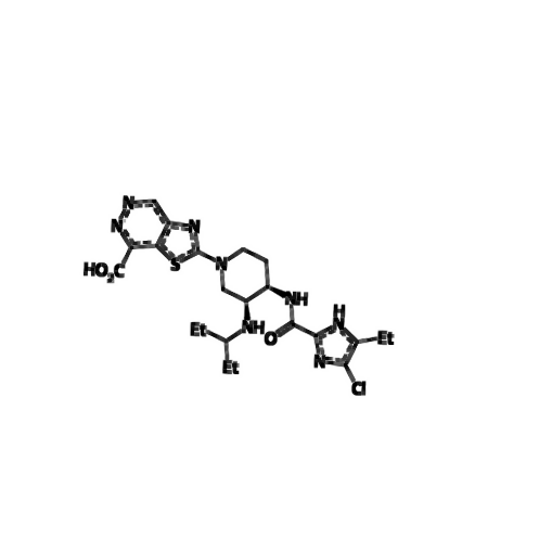 CCc1[nH]c(C(=O)N[C@@H]2CCN(c3nc4cnnc(C(=O)O)c4s3)C[C@@H]2NC(CC)CC)nc1Cl